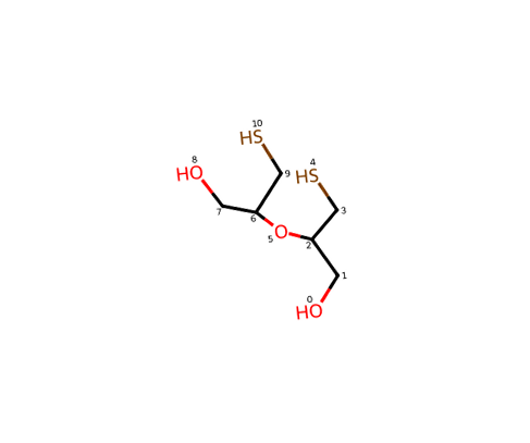 OCC(CS)OC(CO)CS